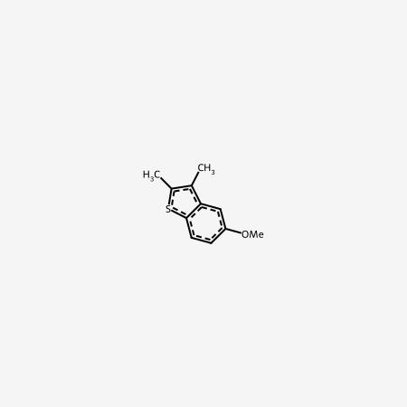 COc1ccc2sc(C)c(C)c2c1